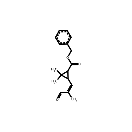 CC(C=O)=CC1C(C(=O)OCc2ccccc2)C1(C)C